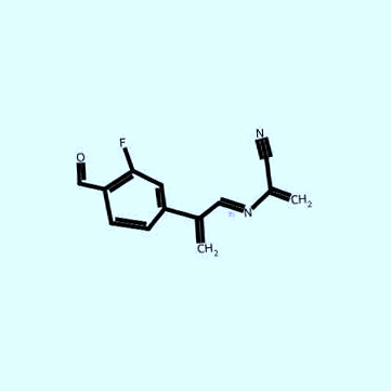 C=C(C#N)/N=C/C(=C)c1ccc(C=O)c(F)c1